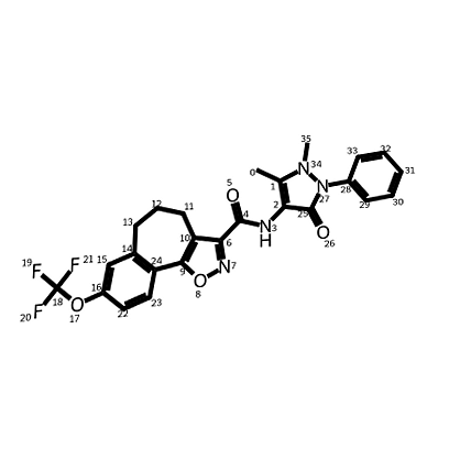 Cc1c(NC(=O)c2noc3c2CCCc2cc(OC(F)(F)F)ccc2-3)c(=O)n(-c2ccccc2)n1C